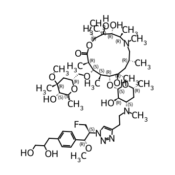 CC[C@H]1OC(=O)[C@H](C)[C@@H](OC[C@H]2C[C@@](C)(OC)[C@@H](O)[C@H](C)O2)[C@H](C)[C@@H](O[C@@H]2O[C@H](C)C[C@H](N(C)CCc3cn([C@H](CF)[C@H](OC)c4ccc(CC(O)CO)cc4)nn3)[C@H]2O)[C@](C)(O)C[C@@H](C)CN(C)[C@H](C)[C@@H](O)[C@]1(C)O